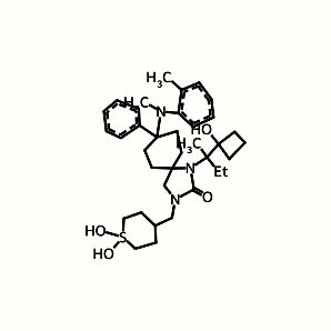 CCC(C)(N1C(=O)N(CC2CCS(O)(O)CC2)CC12CCC(c1ccccc1)(N(C)c1ccccc1C)CC2)C1(O)CCC1